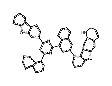 C1=Cc2cc3oc4cccc(-c5cc(-c6nc(-c7ccc8c(c7)oc7ccccc78)nc(-c7cccc8ccccc78)n6)c6ccccc6c5)c4c3cc2NC1